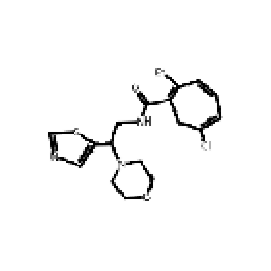 CCC1=C(C(=O)NCC(c2cncs2)N2CCOCC2)CC(Cl)=CC=C1